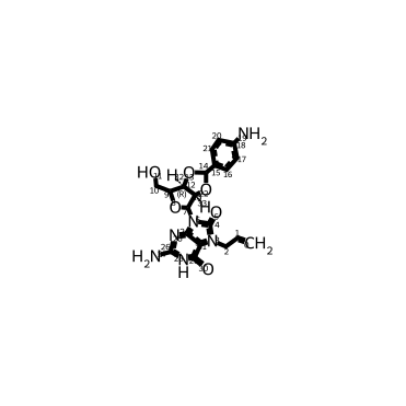 C=CCn1c(=O)n(C2OC(CO)[C@H]3OC(c4ccc(N)cc4)O[C@@H]23)c2nc(N)[nH]c(=O)c21